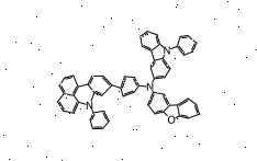 c1ccc(N2c3cc(-c4ccc(N(c5ccc6oc7ccccc7c6c5)c5ccc6c(c5)c5ccccc5n6-c5ccccc5)cc4)ccc3-c3cccc4cccc2c34)cc1